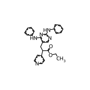 CCOC(=O)C(Cc1cnc(Nc2ccccc2)nc1Nc1ccccc1)c1ccncc1